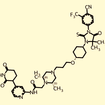 C[C@@H]1CN(CCCO[C@H]2CC[C@H](N3C(=S)N(c4ccc(C#N)c(C(F)(F)F)c4)C(=O)C3(C)C)CC2)C[C@H](C)N1CC(=O)Nc1cc(C2CCC(=O)NC2=O)ccn1